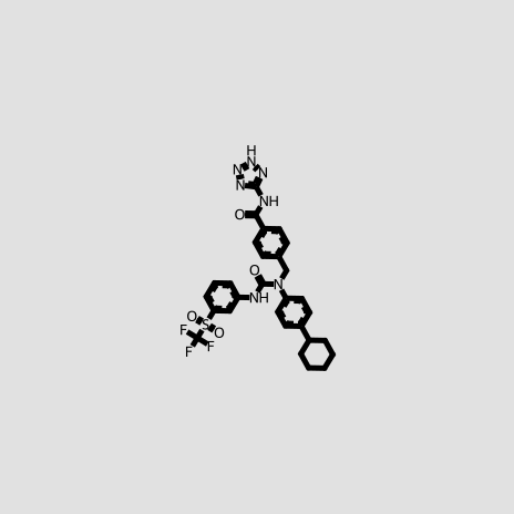 O=C(Nc1nn[nH]n1)c1ccc(CN(C(=O)Nc2cccc(S(=O)(=O)C(F)(F)F)c2)c2ccc(C3CCCCC3)cc2)cc1